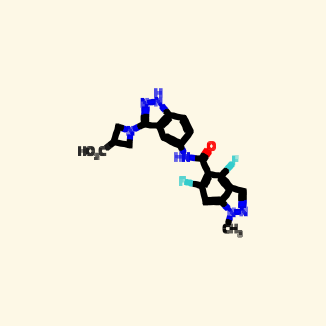 Cn1ncc2c(F)c(C(=O)Nc3ccc4[nH]nc(N5CC(C(=O)O)C5)c4c3)c(F)cc21